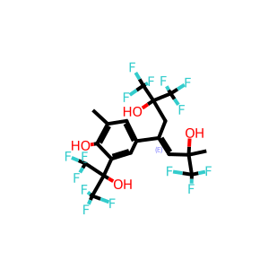 Cc1cc(/C(=C/C(C)(O)C(F)(F)F)CC(O)(C(F)(F)F)C(F)(F)F)cc(C(O)(C(F)(F)F)C(F)(F)F)c1O